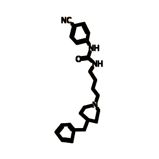 N#Cc1ccc(NC(=O)NCCCCN2CCC(Cc3ccccc3)CC2)cc1